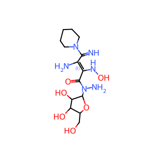 N=C(/C(N)=C(\NO)C(=O)N(N)C1OC(CO)C(O)C1O)N1CCCCC1